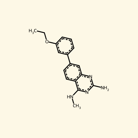 CCOc1cccc(-c2ccc3c(NC)nc(N)nc3c2)c1